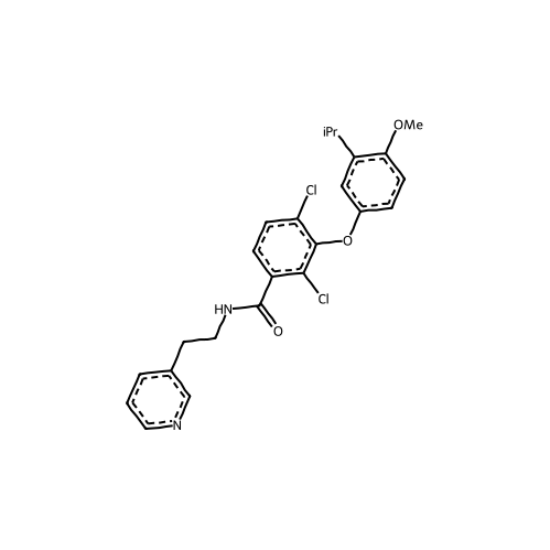 COc1ccc(Oc2c(Cl)ccc(C(=O)NCCc3cccnc3)c2Cl)cc1C(C)C